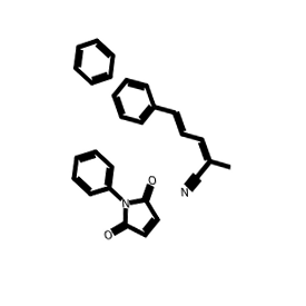 CC(C#N)=CC=Cc1ccccc1.O=C1C=CC(=O)N1c1ccccc1.c1ccccc1